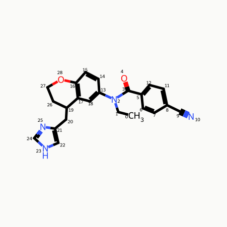 CCN(C(=O)c1ccc(C#N)cc1)c1ccc2c(c1)C(Cc1c[nH]cn1)CCO2